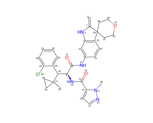 C=C1Nc2cc(NC(=O)[C@@H](NC(=O)c3ccnn3C)C(c3ccccc3Cl)C3(C)CC3)ccc2C12CCOCC2